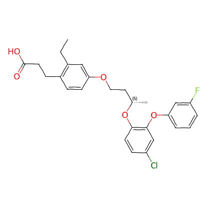 CCc1cc(OCC[C@H](C)Oc2ccc(Cl)cc2Oc2cccc(F)c2)ccc1CCC(=O)O